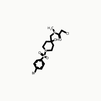 CN(CC1(O)CCN(S(=O)(=O)c2ccc(Br)cc2)CC1)C(=O)CCl